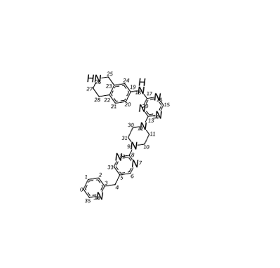 c1ccc(Cc2cnc(N3CCN(c4ncnc(Nc5ccc6c(c5)CNCC6)n4)CC3)nc2)nc1